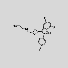 OCCNCC1CC(c2c(-c3ccc(F)cc3)[nH]c3c(F)cc(F)cc23)C1